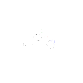 N#C[CH]c1ccc(Br)c(Oc2ccccn2)c1